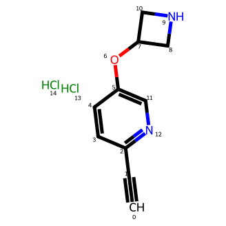 C#Cc1ccc(OC2CNC2)cn1.Cl.Cl